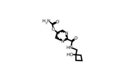 NC(=O)Oc1cnc(C(=O)NCC2(O)CCC2)nc1